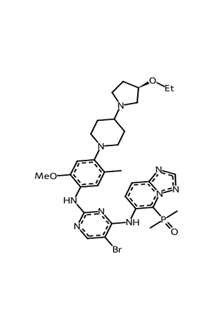 CCO[C@@H]1CCN(C2CCN(c3cc(OC)c(Nc4ncc(Br)c(Nc5ccc6ncnn6c5P(C)(C)=O)n4)cc3C)CC2)C1